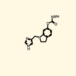 CNC(=O)Oc1ccc2c(c1)N(Cc1c[nH]cn1)CC2